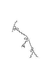 CCCCCC(CCCCC)CC(=O)OCCCCCCCCCCC(CCCCCCCCOC(=O)CC(CCCCC)CCCCC)C(=O)OCCCN(C)CC